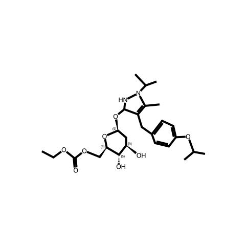 CCOC(=O)OC[C@H]1O[C@@H](OC2NN(C(C)C)C(C)=C2Cc2ccc(OC(C)C)cc2)C[C@@H](O)[C@@H]1O